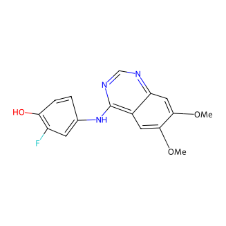 COc1cc2ncnc(Nc3ccc(O)c(F)c3)c2cc1OC